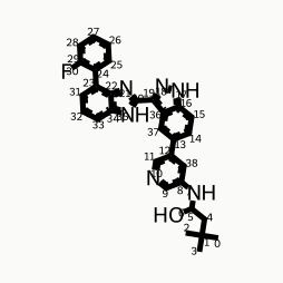 CC(C)(C)CC(O)Nc1cncc(-c2ccc3[nH]nc(-c4nc5c(-c6ccccc6F)cccc5[nH]4)c3c2)c1